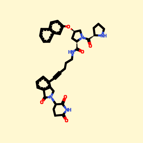 O=C1CCC(N2Cc3c(C#CCCCNC(=O)[C@@H]4C[C@H](Oc5ccc6ccccc6c5)CN4C(=O)[C@@H]4CCCN4)cccc3C2=O)C(=O)N1